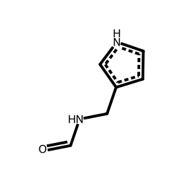 O=CNCc1cc[nH]c1